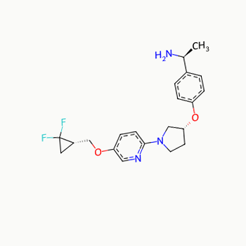 C[C@H](N)c1ccc(O[C@@H]2CCN(c3ccc(OC[C@@H]4CC4(F)F)cn3)C2)cc1